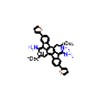 CCCCCCCCCCCCc1c2c(c(CCCCCCCCCCCC)c3c1-c1ccc(-c4cccs4)cc1C3=C(N)N)-c1ccc(-c3cccs3)cc1/C2=C(\N)C#N